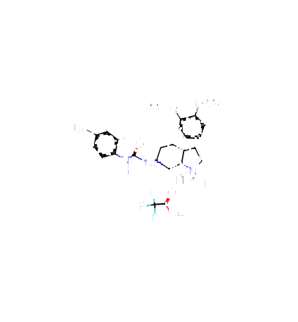 COc1ccc([C@@]23CC[C@@H](NC(=O)Nc4ccc(Br)cc4)C[C@@H]2N(C)CC3)cc1OC.O=C(O)C(F)(F)F